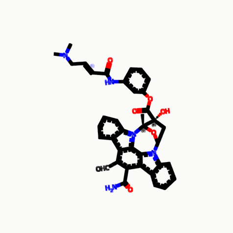 CN(C)C/C=C/C(=O)Nc1cccc(OC(=O)[C@@]2(O)CC3O[C@]2(C)n2c4ccccc4c4c(C=O)c(C(N)=O)c5c6ccccc6n3c5c42)c1